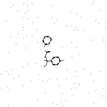 CCC1(c2ccc(C)cc2)OC1C(=O)Oc1ccccc1